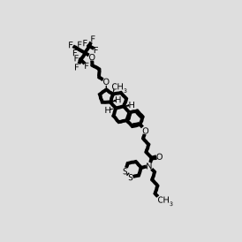 CCCCCN(C(=O)CCCOc1ccc2c(c1)CC[C@@H]1[C@@H]2CC[C@]2(C)[C@@H](OCCCOC(C(F)(F)F)(C(F)(F)F)C(F)(F)F)CC[C@@H]12)C1CCSSC1